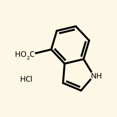 Cl.O=C(O)c1cccc2[nH]ccc12